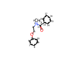 CN(CCOc1ccccc1)C(=O)c1ccccc1